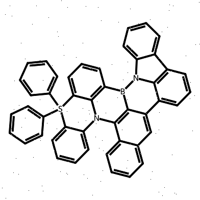 c1ccc(S2(c3ccccc3)c3ccccc3N3c4c(cccc42)B2c4c(cc5ccccc5c43)-c3cccc4c5ccccc5n2c34)cc1